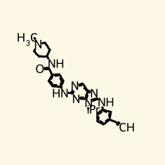 C#Cc1cccc(Nc2nc3cnc(Nc4ccc(C(=O)NC5CCN(C)CC5)cc4)nc3n2C(C)C)c1